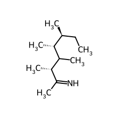 CC[C@H](C)[C@@H](C)C(C)[C@@H](C)C(C)=N